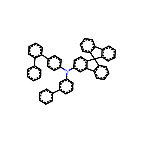 c1ccc(-c2cccc(N(c3ccc(-c4ccccc4-c4ccccc4)cc3)c3ccc4c(c3)-c3ccccc3C43c4ccccc4-c4ccccc43)c2)cc1